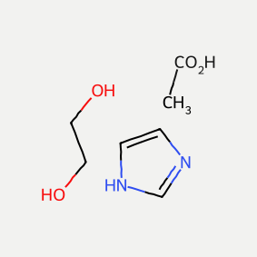 CC(=O)O.OCCO.c1c[nH]cn1